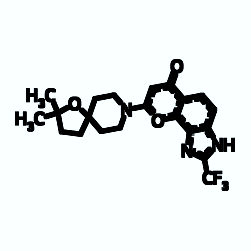 CC1(C)CCC2(CCN(c3cc(=O)c4ccc5[nH]c(C(F)(F)F)nc5c4o3)CC2)O1